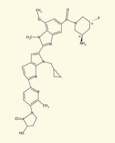 COc1cc(C(=O)N2C[C@H](N)C[C@@H](F)C2)cc2nc(-c3cc4ccc(-c5ccc(N6CCC(O)C6=O)c(C)n5)nc4n3CC3CC3)n(C)c12